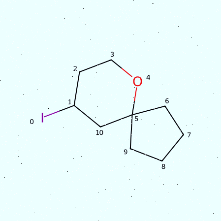 IC1CCOC2(CCCC2)C1